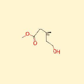 COC(=O)C[C@@H](C)CCO